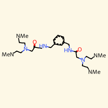 CNCCN(CCNC)CC(=O)CNCc1cccc(CNC(=O)CN(CCNC)CCNC)c1